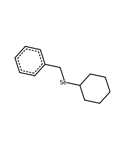 c1ccc(C[Se]C2CCCCC2)cc1